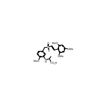 COc1cc(OC)c(/C=C/S(=O)(=O)Cc2ccc(OC)c(NC(C)C(=O)O)c2)c(OC)c1